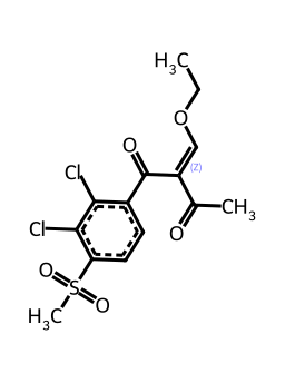 CCO/C=C(/C(C)=O)C(=O)c1ccc(S(C)(=O)=O)c(Cl)c1Cl